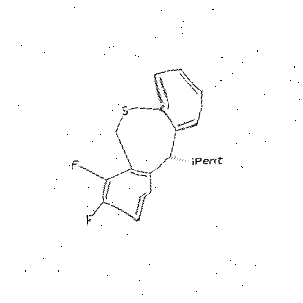 CCC[C@@H](C)C1c2ccccc2SCc2c1ccc(F)c2F